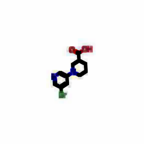 O=C(O)C1CCCN(c2cncc(Br)c2)C1